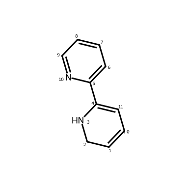 [C]1=CCNC(c2ccccn2)=C1